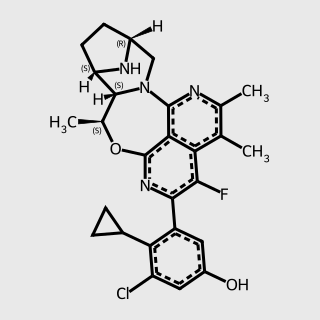 Cc1nc2c3c(nc(-c4cc(O)cc(Cl)c4C4CC4)c(F)c3c1C)O[C@@H](C)[C@@H]1[C@@H]3CC[C@H](CN21)N3